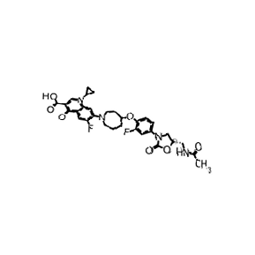 CC(=O)NC[C@H]1CN(c2ccc(OC3CCCN(c4cc5c(cc4F)c(=O)c(C(=O)O)cn5C4CC4)CC3)c(F)c2)C(=O)O1